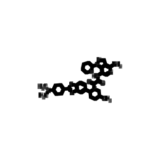 CC1CCC(c2ccc3sc(C4CCC(N(C)C)CC4)nc3c2)N(C(=O)C(=O)Nc2cnc(N)c3cnn(C4CCCCO4)c23)C1